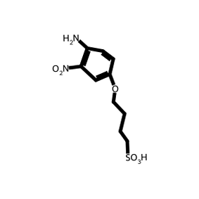 Nc1ccc(OCCCCS(=O)(=O)O)cc1[N+](=O)[O-]